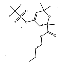 CCCCOC(=O)C1(C)CC(OS(=O)(=O)C(F)(F)F)=CC(C)(C)O1